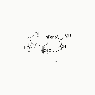 C=C(C)C(=O)O.C=C(C)C(=O)O.CCCCCC(O)O.OCCO